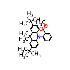 COC(=O)c1ccccc1N1c2ccc(C(C)(C)C)cc2C(C)(C)c2cc(C(C)(C)C)ccc21